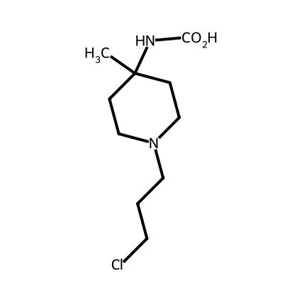 CC1(NC(=O)O)CCN(CCCCl)CC1